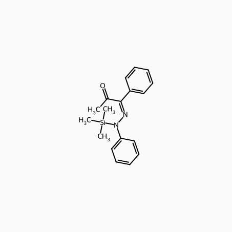 CC(=O)/C(=N\N(c1ccccc1)[Si](C)(C)C)c1ccccc1